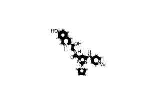 CC(=O)N1CCC(Nc2cc(C(=O)NCC(O)[C@@H]3Cc4ccc(O)cc4CN3)nc(N3CCCC3)n2)CC1